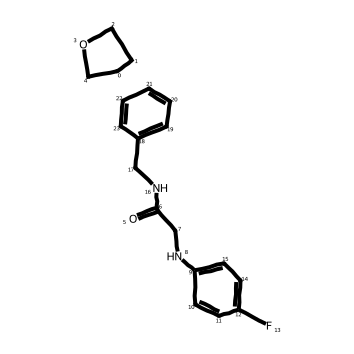 C1CCOC1.O=C(CNc1ccc(F)cc1)NCc1ccccc1